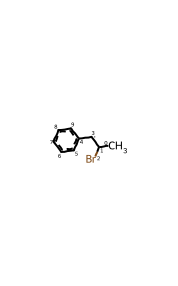 CC(Br)[CH]c1ccccc1